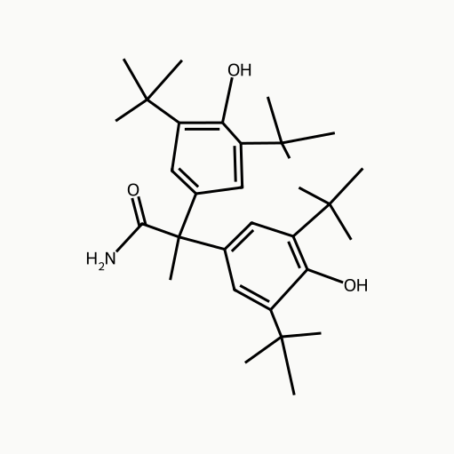 CC(C)(C)c1cc(C(C)(C(N)=O)c2cc(C(C)(C)C)c(O)c(C(C)(C)C)c2)cc(C(C)(C)C)c1O